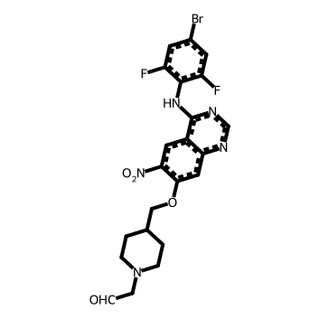 O=CCN1CCC(COc2cc3ncnc(Nc4c(F)cc(Br)cc4F)c3cc2[N+](=O)[O-])CC1